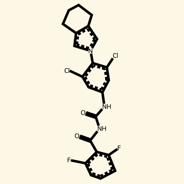 O=C(NC(=O)c1c(F)cccc1F)Nc1cc(Cl)c(-n2cc3c(c2)CCCC3)c(Cl)c1